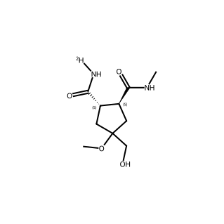 [2H]NC(=O)[C@H]1CC(CO)(OC)C[C@@H]1C(=O)NC